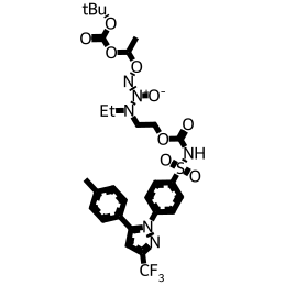 CCN(CCOC(=O)NS(=O)(=O)c1ccc(-n2nc(C(F)(F)F)cc2-c2ccc(C)cc2)cc1)[N+]([O-])=NOC(C)OC(=O)OC(C)(C)C